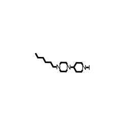 CCCCCCN1CCN(C2CCN(I)CC2)CC1